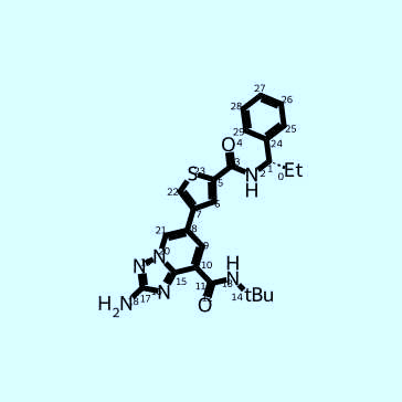 CC[C@H](NC(=O)c1cc(-c2cc(C(=O)NC(C)(C)C)c3nc(N)nn3c2)cs1)c1ccccc1